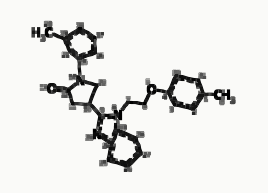 Cc1ccc(OCCn2c(C3CC(=O)N(c4cccc(C)c4)C3)nc3ccccc32)cc1